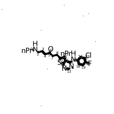 CCCNC/C=C/C(=O)CCc1sc2ncnc(Nc3ccc(F)c(Cl)c3)c2c1CCC